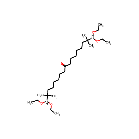 CCO[SiH](OCC)C(C)(C)CCCCCCC(=O)CCCCCCC(C)(C)[SiH](OCC)OCC